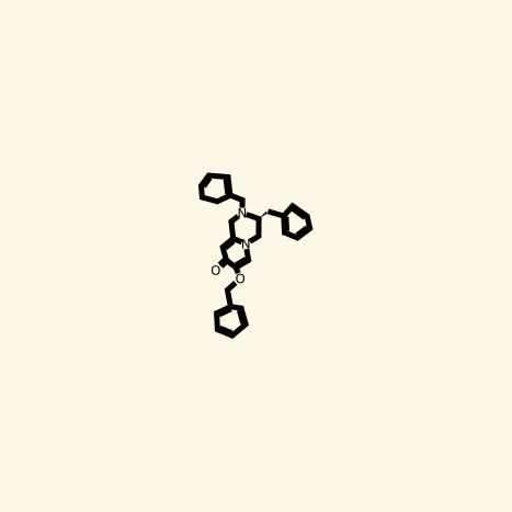 O=c1cc2n(cc1OCc1ccccc1)C[C@@H](Cc1ccccc1)N(CC1=CC=CCC1)C2